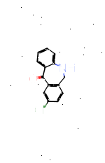 O=C1c2cc(Cl)ccc2CNc2ccccc21